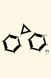 C1CC1.[Pt].c1ccncc1.c1ccncc1